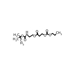 CCCOC(=O)OCCC(=O)OCCNC(=O)OC(C)(C)C